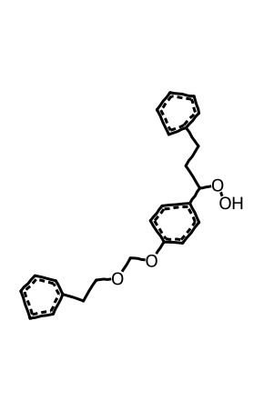 OOC(CCc1ccccc1)c1ccc(OCOCCc2ccccc2)cc1